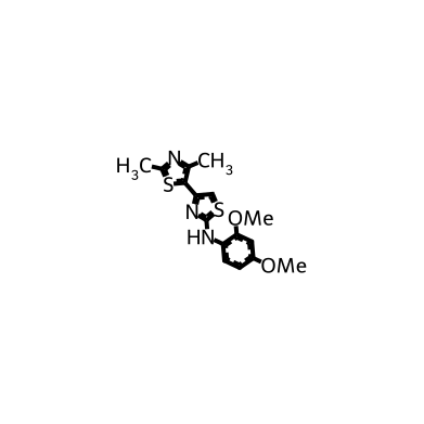 COc1ccc(Nc2nc(-c3sc(C)nc3C)cs2)c(OC)c1